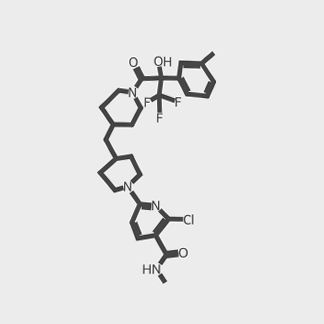 CNC(=O)c1ccc(N2CCC(CC3CCN(C(=O)C(O)(c4cccc(C)c4)C(F)(F)F)CC3)CC2)nc1Cl